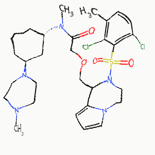 Cc1ccc(Cl)c(S(=O)(=O)N2CCn3cccc3C2COCC(=O)N(C)[C@H]2CCC[C@H](N3CCN(C)CC3)C2)c1Cl